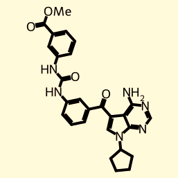 COC(=O)c1cccc(NC(=O)Nc2cccc(C(=O)c3cn(C4CCCC4)c4ncnc(N)c34)c2)c1